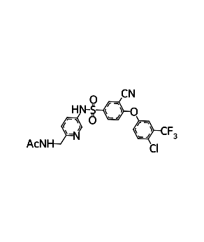 CC(=O)NCc1ccc(NS(=O)(=O)c2ccc(Oc3ccc(Cl)c(C(F)(F)F)c3)c(C#N)c2)cn1